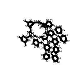 Cc1cc(C)cc(-c2nc3nc(n2)N2c4ccccc4B4c5ccc([Si](c6ccccc6)(c6ccccc6)c6ccccc6)cc5N(c5cccc([Si](c6ccccc6)(c6ccccc6)c6ccccc6)c5)c5cc(cc2c54)-n2c4ccccc4c4cc(ccc42)-c2cc(C)cc-3c2)c1